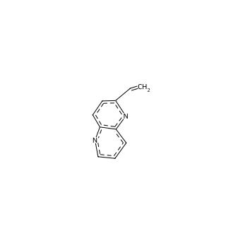 C=Cc1ccc2ncccc2n1